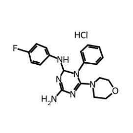 Cl.NC1=NC(Nc2ccc(F)cc2)N(c2ccccc2)C(N2CCOCC2)=N1